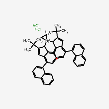 CC(C)(C)C1=Cc2c(-c3cccc4ccccc34)cccc2[CH]1[Hf]1([CH]2C(C(C)(C)C)=Cc3c(-c4cccc5ccccc45)cccc32)[CH2][CH2]1.Cl.Cl